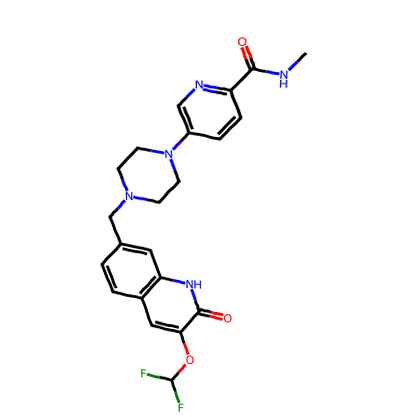 CNC(=O)c1ccc(N2CCN(Cc3ccc4cc(OC(F)F)c(=O)[nH]c4c3)CC2)cn1